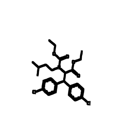 CCOC(=O)C(C(c1ccc(Cl)cc1)c1ccc(Cl)cc1)N(CCC(C)C)C(=O)OCC